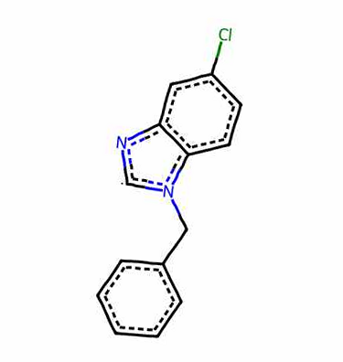 Clc1ccc2c(c1)n[c]n2Cc1ccccc1